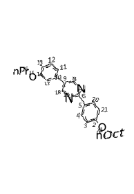 CCCCCCCCOc1ccc(-c2ncc(-c3cccc(OCCC)c3)cn2)cc1